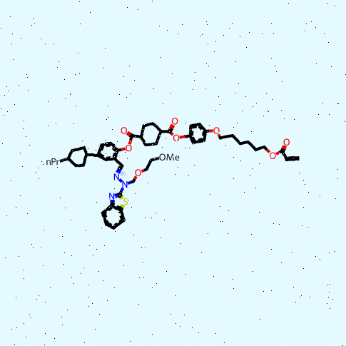 C=CC(=O)OCCCCCCOc1ccc(OC(=O)C2CCC(C(=O)Oc3ccc(C4CCC(CCC)CC4)cc3/C=N/N(COCCOC)c3nc4ccccc4s3)CC2)cc1